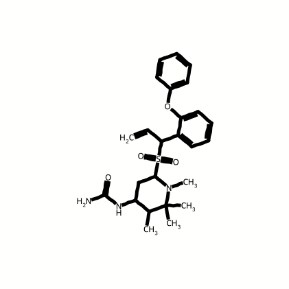 C=CC(c1ccccc1Oc1ccccc1)S(=O)(=O)C1CC(NC(N)=O)C(C)C(C)(C)N1C